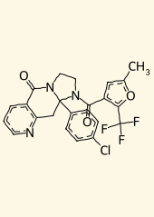 Cc1cc(C(=O)N2CCN3C(=O)c4cccnc4CC32c2ccc(Cl)cc2)c(C(F)(F)F)o1